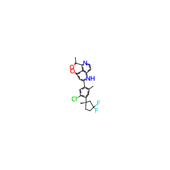 CC(=O)c1nccc2[nH]c(-c3cc(Cl)c([C@@]4(C)CCC(F)(F)C4)cc3C)cc(=O)c12